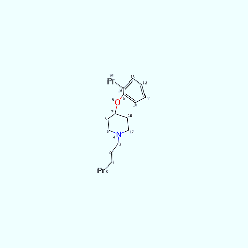 CC(C)CCCN1CCC(Oc2ccccc2C(C)C)CC1